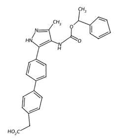 Cc1n[nH]c(-c2ccc(-c3ccc(CC(=O)O)cc3)cc2)c1NC(=O)OC(C)c1ccccc1